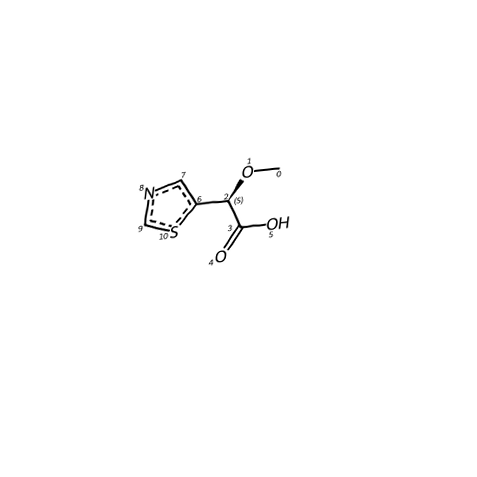 CO[C@@H](C(=O)O)c1cncs1